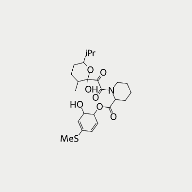 CSC1=CC(O)C(OC(=O)C2CCCCN2C(=O)C(=O)C2(O)OC(C(C)C)CCC2C)C=C1